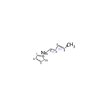 C/C=C/C=[CH]/[Ni][C]1=CC=CC1